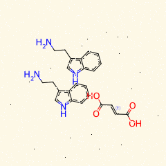 NCCc1c[nH]c2ccccc12.NCCc1c[nH]c2ccccc12.O=C(O)/C=C/C(=O)O